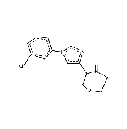 Clc1cccc(-n2cnc(C3COCCN3)c2)c1